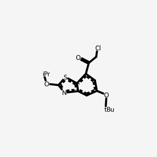 CC(C)Oc1nc2cc(OC(C)(C)C)cc(C(=O)CCl)c2s1